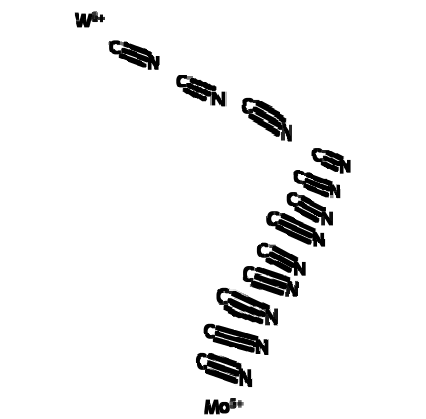 [C-]#N.[C-]#N.[C-]#N.[C-]#N.[C-]#N.[C-]#N.[C-]#N.[C-]#N.[C-]#N.[C-]#N.[C-]#N.[C-]#N.[Mo+6].[W+6]